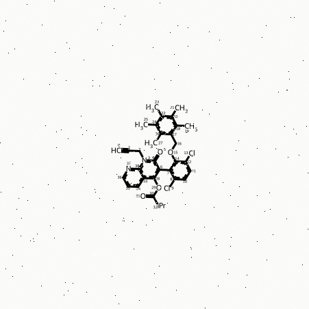 C#CCn1c(=O)c(-c2c(Cl)ccc(Cl)c2OCc2c(C)c(C)c(C)c(C)c2C)c(OC(=O)C(C)C)c2cccnc21